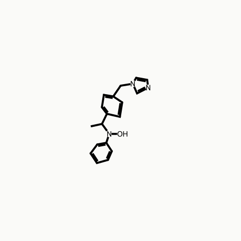 CC(c1ccc(Cn2ccnc2)cc1)N(O)c1ccccc1